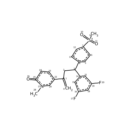 C=C(CC(c1ccc(S(C)(=O)=O)cc1)c1cc(F)cc(F)c1)c1ccc(=O)n(C)c1